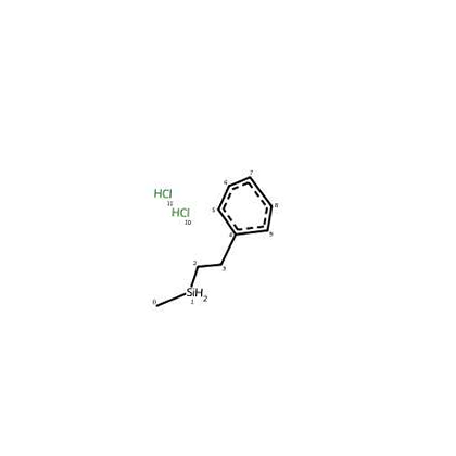 C[SiH2]CCc1ccccc1.Cl.Cl